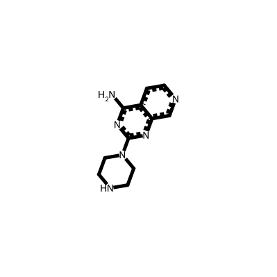 Nc1nc(N2CCNCC2)nc2cnccc12